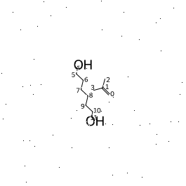 C=C(C)C.OCCCCCCO